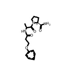 CC(NC(=O)CCOc1ccccc1)C(=O)N1CCC[C@H]1C(N)=O